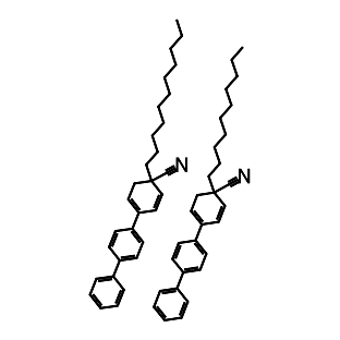 CCCCCCCCCCC1(C#N)C=CC(c2ccc(-c3ccccc3)cc2)=CC1.CCCCCCCCCCCC1(C#N)C=CC(c2ccc(-c3ccccc3)cc2)=CC1